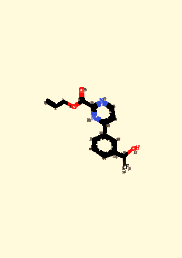 C=CCOC(=O)c1nccc(-c2cccc(C(O)C(F)(F)F)c2)n1